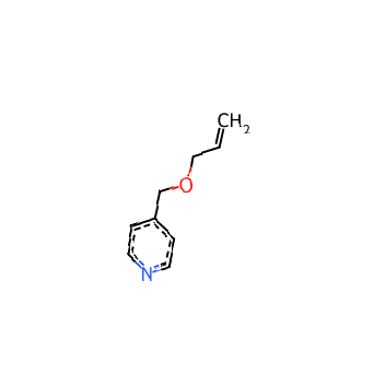 C=CCOCc1ccncc1